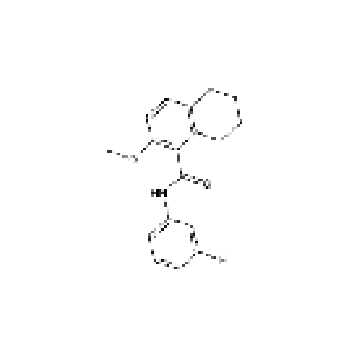 COc1ccc2c(c1C(=O)Nc1cccc(F)c1)CCCC2